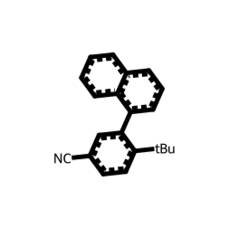 CC(C)(C)c1ccc(C#N)cc1-c1cccc2ccccc12